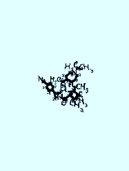 CC(=N)C1=C(/N=C(\C)c2cc(C(=O)N3CC(c4ccc(C#N)cc4)C3)c(C)cc2C)CCN(C(C)C)CC1